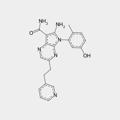 Cc1ccc(O)cc1-n1c(N)c(C(N)=O)c2ncc(CCc3cccnc3)nc21